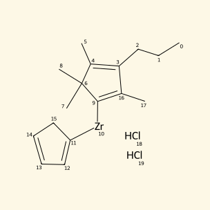 CCCC1=C(C)C(C)(C)[C]([Zr][C]2=CC=CC2)=C1C.Cl.Cl